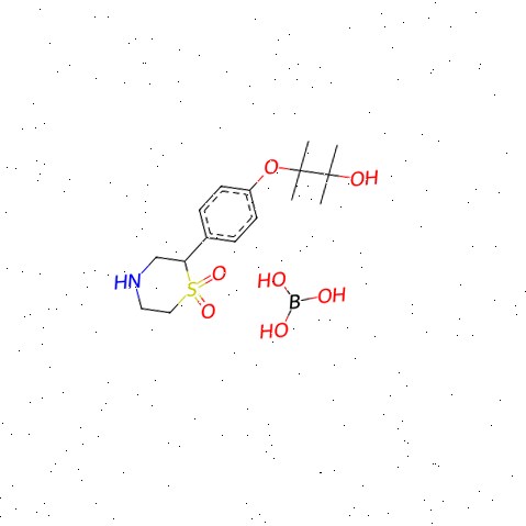 CC(C)(O)C(C)(C)Oc1ccc(C2CNCCS2(=O)=O)cc1.OB(O)O